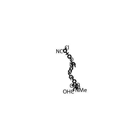 CNC(=O)C(CCC=O)N1C(=O)c2ccc(N3CCC(CN4CC5CN(c6nccc(COc7ccc(C(C)(C)c8cc(Cl)cc(C#N)c8)cc7)n6)CC5C4)CC3)cc2C1=O